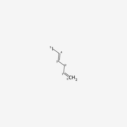 C=C[CH]C=CI